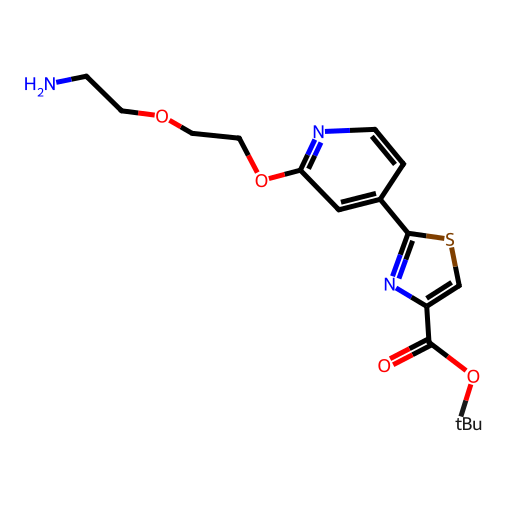 CC(C)(C)OC(=O)c1csc(-c2ccnc(OCCOCCN)c2)n1